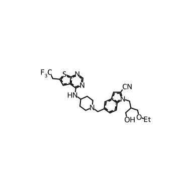 CCOCC(CO)Cn1c(C#N)cc2cc(CN3CCC(Nc4ncnc5sc(CC(F)(F)F)cc45)CC3)ccc21